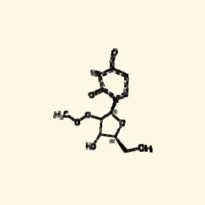 COOC1C(O)[C@H](CO)O[C@@H]1n1ccc(=O)[nH]c1=O